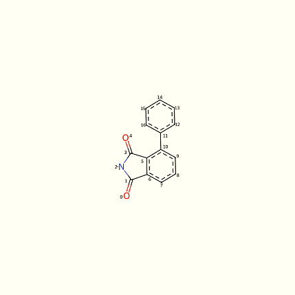 O=C1[N]C(=O)c2c1cccc2-c1ccccc1